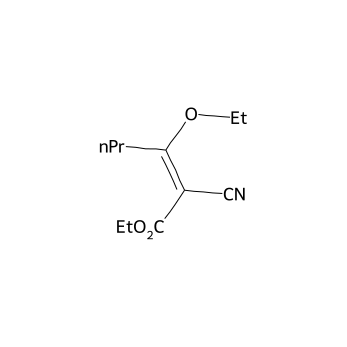 CCCC(OCC)=C(C#N)C(=O)OCC